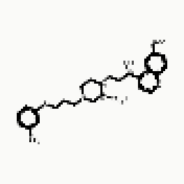 COc1ccc2nccc([C@H](O)CC[C@@H]3CCN(CCCSc4cccc(C(F)(F)F)c4)C[C@@H]3C(=O)O)c2c1